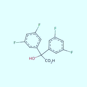 O=C(O)C(O)(c1cc(F)cc(F)c1)c1cc(F)cc(F)c1